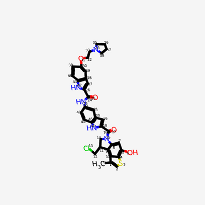 Cc1csc2c(O)cc3c(c12)C(CCl)CN3C(=O)c1cc2cc(NC(=O)c3cc4cc(OCCN5CCCC5)ccc4[nH]3)ccc2[nH]1